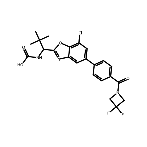 CC(C)(C)C(NC(=O)O)c1nc2cc(-c3ccc(C(=O)N4CC(F)(F)C4)cc3)cc(Cl)c2o1